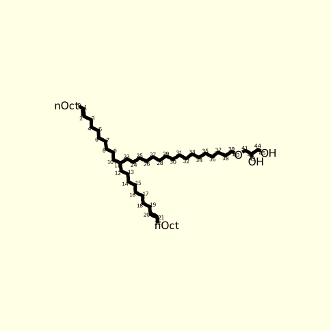 CCCCCCCCC=CCCCCCCCCC(CCCCCCCCC=CCCCCCCCC)CCCCCCCCCCCCCCCCCOCC(O)CO